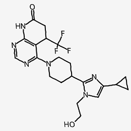 O=C1CC(C(F)(F)F)c2c(ncnc2N2CCC(c3nc(C4CC4)cn3CCO)CC2)N1